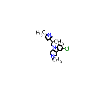 Cc1ccc([C@@H](C)Cn2c3c(c4cc(Cl)ccc42)CN(C)CC3)cn1